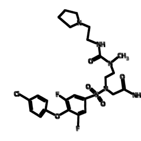 CN(CCN(CC(N)=O)S(=O)(=O)c1cc(F)c(Oc2ccc(Cl)cc2)c(F)c1)C(=O)NCCN1CCCC1